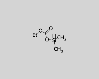 CCOC(=O)O[SiH](C)C